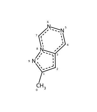 Cc1cc2cnncn2n1